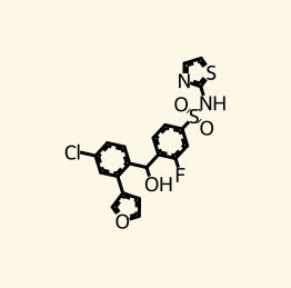 O=S(=O)(Nc1nccs1)c1ccc(C(O)c2ccc(Cl)cc2-c2ccoc2)c(F)c1